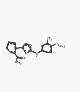 CCCCCCCCOc1ccc(Nc2nc(-c3cccnc3C(N)=O)cs2)cc1C(F)(F)F